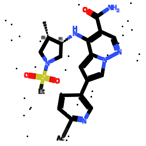 CCS(=O)(=O)N1C[C@H](C)[C@H](Nc2c(C(N)=O)cnn3cc(-c4ccc(C(C)=O)nc4)cc23)C1